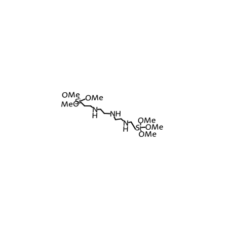 CO[Si](CCNCCNCCNCC[Si](OC)(OC)OC)(OC)OC